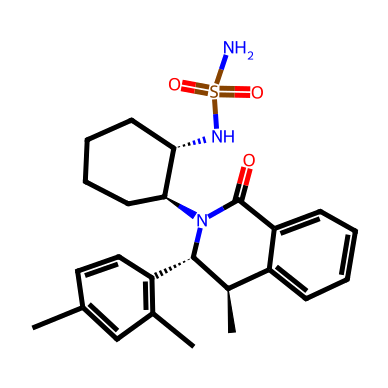 Cc1ccc([C@H]2[C@H](C)c3ccccc3C(=O)N2[C@H]2CCCC[C@@H]2NS(N)(=O)=O)c(C)c1